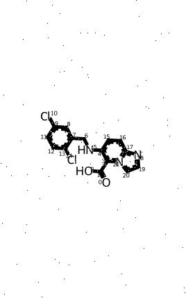 O=C(O)c1c(NCc2cc(Cl)ccc2Cl)ccc2nccn12